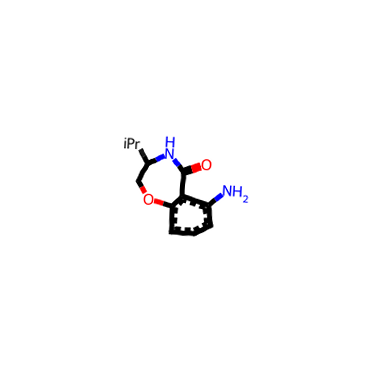 CC(C)C1COc2cccc(N)c2C(=O)N1